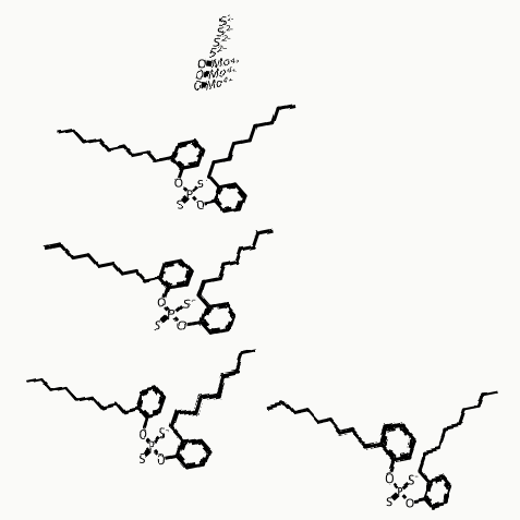 CCCCCCCCCc1ccccc1OP(=S)([S-])Oc1ccccc1CCCCCCCCC.CCCCCCCCCc1ccccc1OP(=S)([S-])Oc1ccccc1CCCCCCCCC.CCCCCCCCCc1ccccc1OP(=S)([S-])Oc1ccccc1CCCCCCCCC.CCCCCCCCCc1ccccc1OP(=S)([S-])Oc1ccccc1CCCCCCCCC.[O]=[Mo+4].[O]=[Mo+4].[O]=[Mo+4].[S-2].[S-2].[S-2].[S-2]